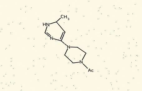 CC(=O)N1CCN(C2=CC(C)NC=N2)CC1